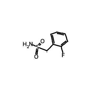 NS(=O)(=O)[CH]c1ccccc1F